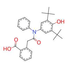 CC(C)(C)c1cc(N(C(=O)Cc2ccccc2C(=O)O)c2ccccc2)cc(C(C)(C)C)c1O